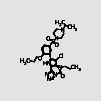 CCCOc1ccc(S(=O)(=O)N2CCN(C(C)C)CC2)cc1-c1[nH]c2c(c1Cl)n(CCC)c(=O)n1cnnc21